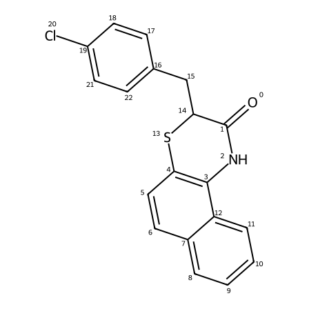 O=C1Nc2c(ccc3ccccc23)SC1Cc1ccc(Cl)cc1